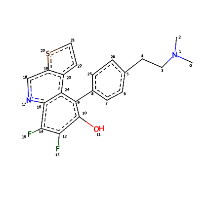 CN(C)CCc1ccc(-c2c(O)c(F)c(F)c3ncc4sccc4c23)cc1